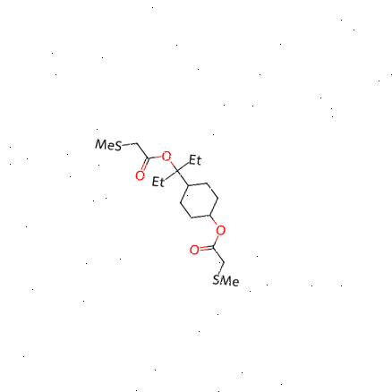 CCC(CC)(OC(=O)CSC)C1CCC(OC(=O)CSC)CC1